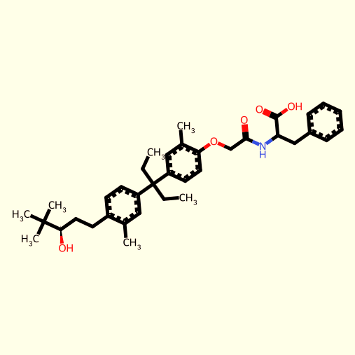 CCC(CC)(c1ccc(CC[C@@H](O)C(C)(C)C)c(C)c1)c1ccc(OCC(=O)NC(Cc2ccccc2)C(=O)O)c(C)c1